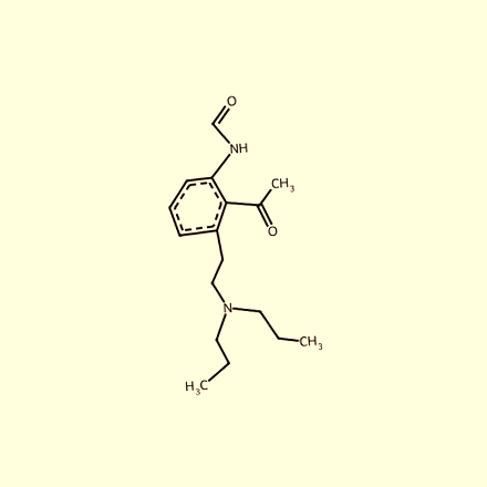 CCCN(CCC)CCc1cccc(NC=O)c1C(C)=O